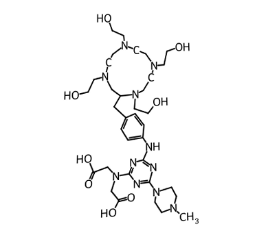 CN1CCN(c2nc(Nc3ccc(CC4CN(CCO)CCN(CCO)CCN(CCO)CCN4CCO)cc3)nc(N(CC(=O)O)CC(=O)O)n2)CC1